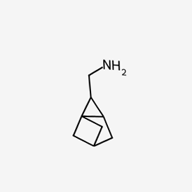 NCC1C2CC3CC12C3